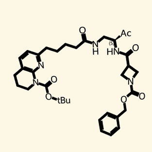 CC(=O)[C@H](CNC(=O)CCCCc1ccc2c(n1)N(C(=O)OC(C)(C)C)CCC2)NC(=O)C1CN(C(=O)OCc2ccccc2)C1